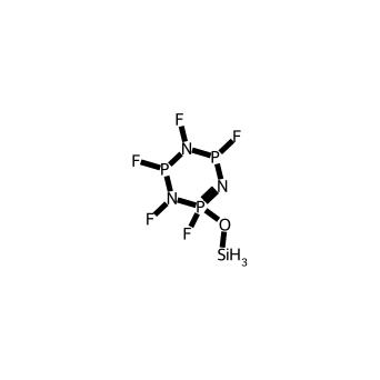 FN1P(F)N=P(F)(O[SiH3])N(F)P1F